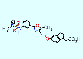 Cc1oc(-c2cccc(NS(=O)(=O)N(C)C)c2)nc1CCOc1ccc2c(c1)CC[C@H]2CC(=O)O